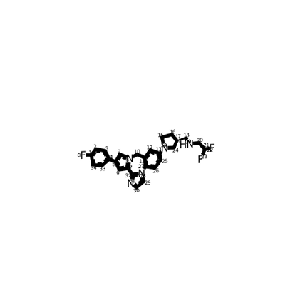 Fc1ccc(-c2cc3n(c2)Cc2cc(N4CC[C@@H](CNCC(F)F)C4)ccc2-n2ccnc2-3)cc1